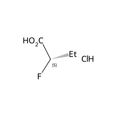 CC[C@H](F)C(=O)O.Cl